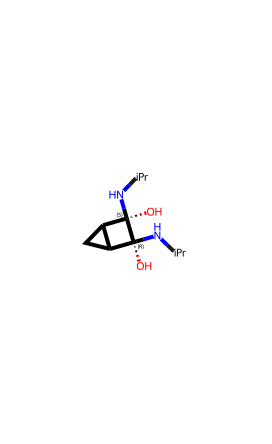 CC(C)N[C@@]1(O)C2CC2[C@@]1(O)NC(C)C